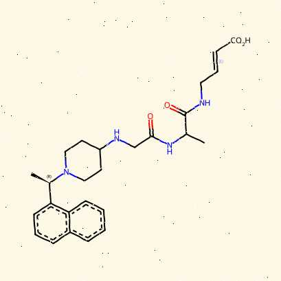 CC(NC(=O)CNC1CCN([C@H](C)c2cccc3ccccc23)CC1)C(=O)NC/C=C/C(=O)O